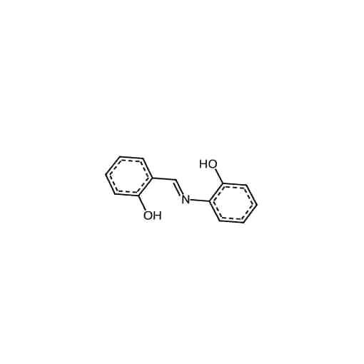 Oc1ccccc1C=Nc1ccccc1O